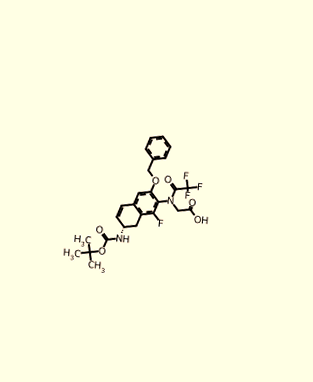 CC(C)(C)OC(=O)N[C@@H]1C=Cc2cc(OCc3ccccc3)c(N(CC(=O)O)C(=O)C(F)(F)F)c(F)c2C1